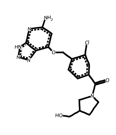 Nc1cc(OCc2ccc(C(=O)N3CCC(CO)C3)cc2Cl)c2nn[nH]c2n1